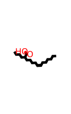 CCCCCC/C=C\CCCCC(CCCC)C(=O)O